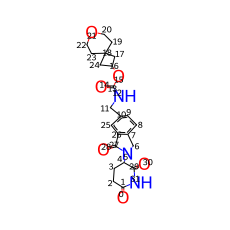 O=C1CCC(N2Cc3ccc(CNC(=O)OC4CC5(CCOCC5)C4)cc3C2=O)C(=O)N1